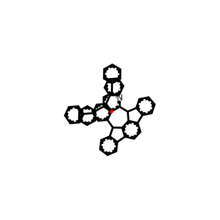 c1ccc(-c2cc(-c3ccccc3)cc(C3c4ccccc4-c4ccc5c(c43)C(c3cc(-c4ccccc4)cc(-c4ccccc4)n3)c3ccccc3-5)c2)cc1